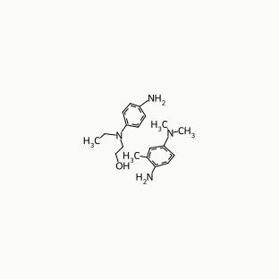 CCN(CCO)c1ccc(N)cc1.Cc1cc(N(C)C)ccc1N